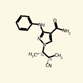 C[C@H](C#N)[C@H](C)n1cc(C(N)=O)c(Nc2ccccc2)n1